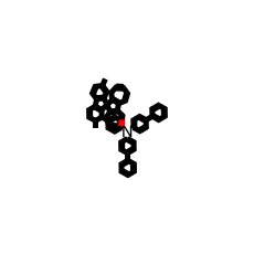 Cc1ccc2c(c1)C1(C3=C(C=CC#CC3)C3=C1CC#CC=C3)C1=C2C=CC(C)C1c1ccc(N(c2ccc(-c3ccccc3)cc2)c2ccc(-c3ccccc3)cc2)cc1